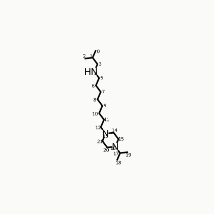 CC(C)CNCCCCCCCCN1CCN(C(C)C)CC1